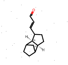 O=CC=CC1CC[C@H]2C3CCC(C3)[C@@H]12